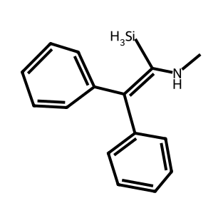 CNC([SiH3])=C(c1ccccc1)c1ccccc1